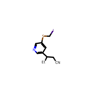 CCC(CC#N)c1cncc(SCI)c1